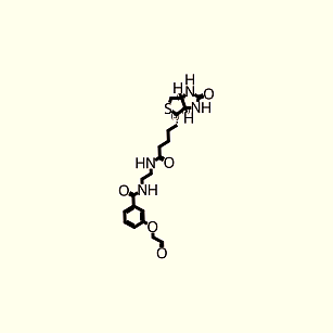 O=CCOc1cccc(C(=O)NCCNC(=O)CCCC[C@@H]2SC[C@@H]3NC(=O)N[C@@H]32)c1